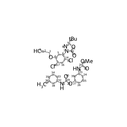 C#CCOc1cc(-n2nc(C(C)(C)C)oc2=O)c(Cl)cc1Cl.COC(=O)Nc1cccc(OC(=O)Nc2cccc(C)c2)c1